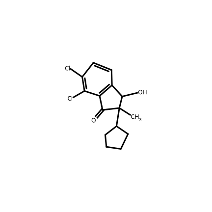 CC1(C2CCCC2)C(=O)c2c(ccc(Cl)c2Cl)C1O